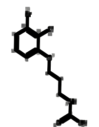 O=C(O)NCCCOc1cccc(Br)c1Cl